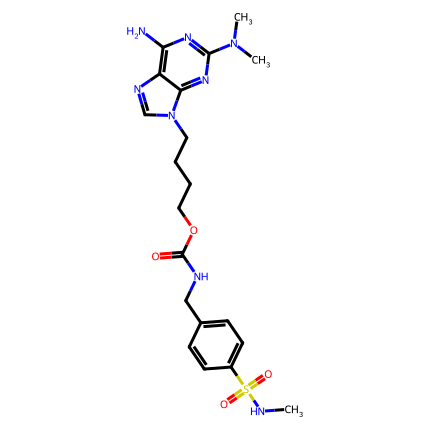 CNS(=O)(=O)c1ccc(CNC(=O)OCCCCn2cnc3c(N)nc(N(C)C)nc32)cc1